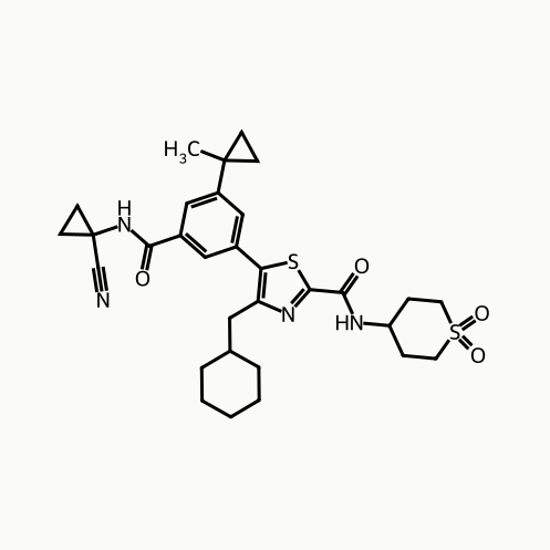 CC1(c2cc(C(=O)NC3(C#N)CC3)cc(-c3sc(C(=O)NC4CCS(=O)(=O)CC4)nc3CC3CCCCC3)c2)CC1